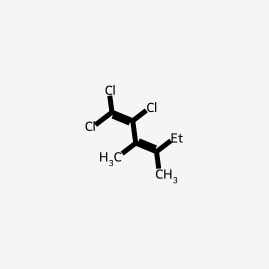 CC/C(C)=C(/C)C(Cl)=C(Cl)Cl